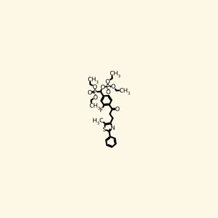 CCOP(=O)(OCC)OC(c1ccc(C(=O)CCc2nc(-c3ccccc3)sc2C)c(F)c1)P(=O)(OCC)OCC